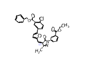 CCOC(=O)c1cccc(N2N=C(C)/C(=C/c3ccc(-c4ccc(Cl)c(C(=O)OCc5ccccc5)c4)o3)C2=O)c1